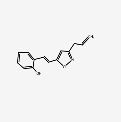 C=CCc1cc(/C=C/c2ccccc2O)on1